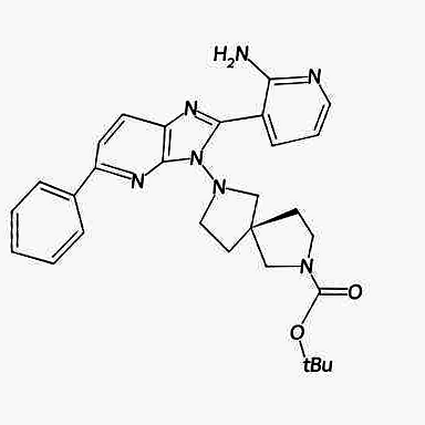 CC(C)(C)OC(=O)N1CC[C@]2(CCN(n3c(-c4cccnc4N)nc4ccc(-c5ccccc5)nc43)C2)C1